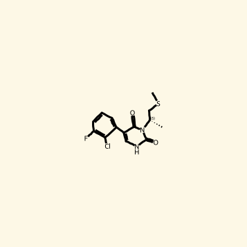 CSC[C@H](C)n1c(=O)[nH]cc(-c2cccc(F)c2Cl)c1=O